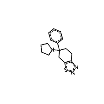 c1ccc(C2(N3CCCC3)CCc3nnsc3C2)cc1